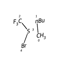 CCCCC.FC(F)(F)SBr